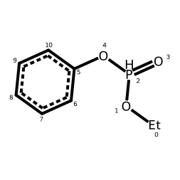 CCO[PH](=O)Oc1ccccc1